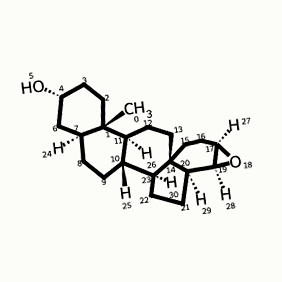 C[C@]12CC[C@@H](O)C[C@@H]1CC[C@@H]1[C@@H]2CC[C@@]23CC[C@H]4O[C@H]4[C@H]2CC[C@@H]13